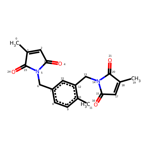 CC1=CC(=O)N(Cc2ccc(C)c(CN3C(=O)C=C(C)C3=O)c2)C1=O